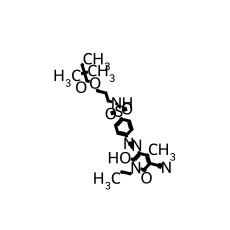 CCCn1c(O)c(N=Nc2ccc(S(=O)(=O)NCCCOC(=O)C(C)(C)CC)cc2)c(C)c(C#N)c1=O